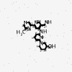 Cc1cncc(-c2cc(Nc3cccc(N4CCC[C@H](O)C4)n3)c(C=N)cn2)n1